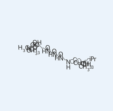 CC(C)CCC[C@@H](C)C1CCC2CC=C3CC(NCCCNC(=O)CCNC(=O)CCNC(=O)CCCCCOP(=O)(O)OCC[N+](C)(C)C)CCC3(C)C2CCC1(C)C